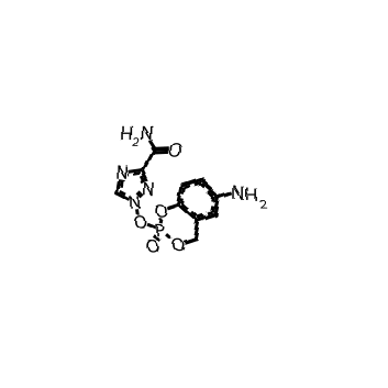 NC(=O)c1ncn(OP2(=O)OCc3cc(N)ccc3O2)n1